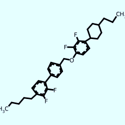 CCCCCc1ccc(-c2ccc(COc3ccc(C4CCC(CCC)CC4)c(F)c3F)cc2)c(F)c1F